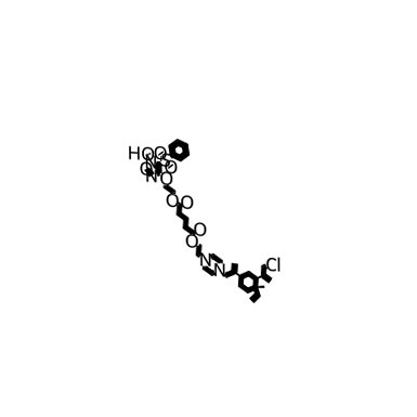 C=C[C@]1(C)CC[C@@H](C(=C)CN2CCN(CCOC(=O)CCCC(=O)OCCOc3no[n+](O)c3S(=O)(=O)c3ccccc3)CC2)C[C@H]1C(=C)CCl